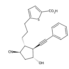 [C-]#[N+][C@@H]1C[C@@H](O)[C@H](C#Cc2ccccc2)[C@H]1CCCc1ccc(C(=O)O)s1